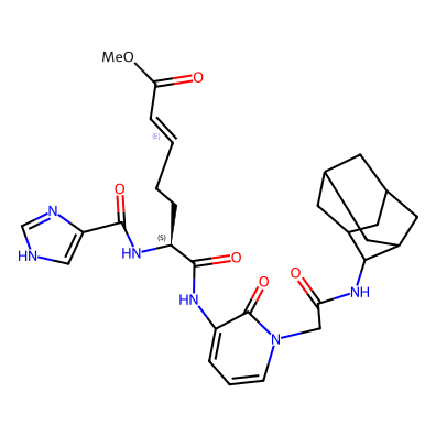 COC(=O)/C=C/CC[C@H](NC(=O)c1c[nH]cn1)C(=O)Nc1cccn(CC(=O)NC2C3CC4CC(C3)CC2C4)c1=O